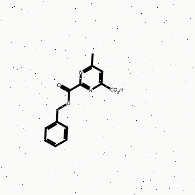 Cc1cc(C(=O)O)nc(C(=O)OCc2ccccc2)n1